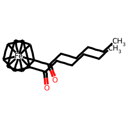 CCCCCC(=O)[C]12[CH]3[CH]4[CH]5[CH]1[Fe]45321678[CH]2[CH]1[CH]6[C]7(C(=O)CCCCC)[CH]28